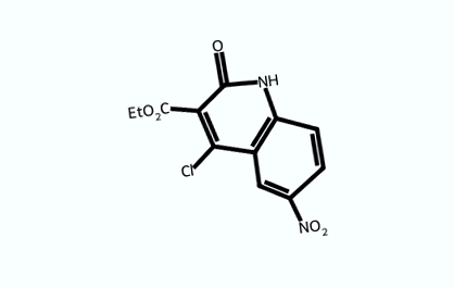 CCOC(=O)c1c(Cl)c2cc([N+](=O)[O-])ccc2[nH]c1=O